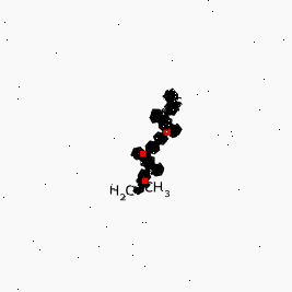 C=C/C=C\c1sc2ccc(-n3c4ccccc4c4cc5c(cc43)c3ccccc3n5-c3ccc(-c4ccc(-n5c6ccccc6c6cc7c(cc65)c5ccccc5n7-c5ccc6sc7ccccc7c6c5)cc4)cc3)cc2c1C